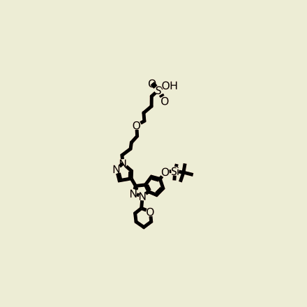 CC(C)(C)[Si](C)(C)Oc1ccc2c(c1)c(-c1cnn(CCCCOCCCCS(=O)(=O)O)c1)nn2C1CCCCO1